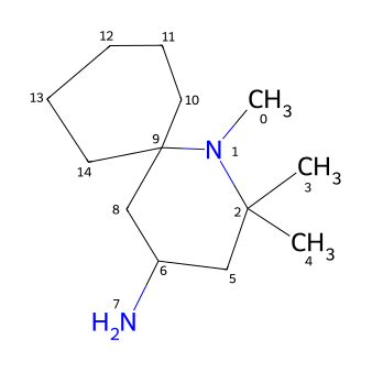 CN1C(C)(C)CC(N)CC12CCCCC2